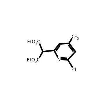 CCOC(=O)C(C(=O)OCC)c1cc(C(F)(F)F)cc(Cl)n1